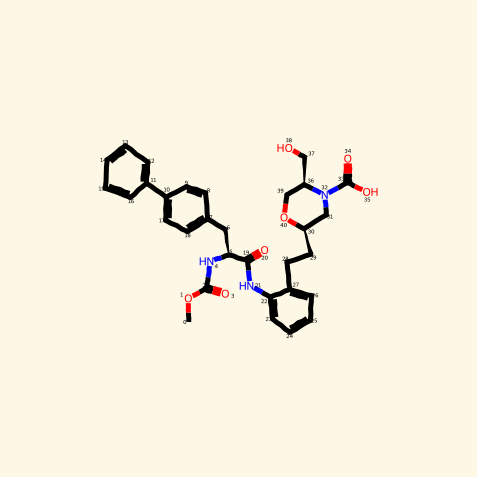 COC(=O)N[C@@H](Cc1ccc(-c2ccccc2)cc1)C(=O)Nc1ccccc1CC[C@@H]1CN(C(=O)O)[C@H](CO)CO1